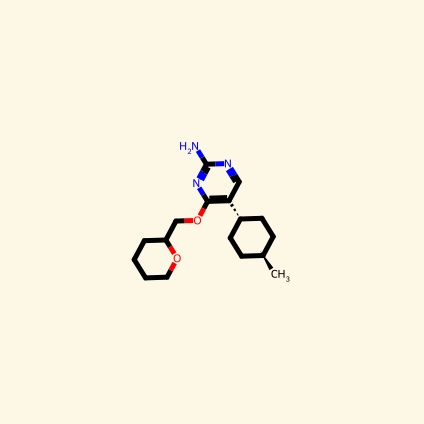 C[C@H]1CC[C@H](c2cnc(N)nc2OCC2CCCCO2)CC1